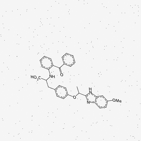 COc1ccc2nc(C(C)Oc3ccc(CC(Nc4ccccc4C(=O)c4ccccc4)C(=O)O)cc3)[nH]c2c1